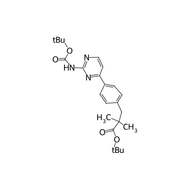 CC(C)(C)OC(=O)Nc1nccc(-c2ccc(CC(C)(C)C(=O)OC(C)(C)C)cc2)n1